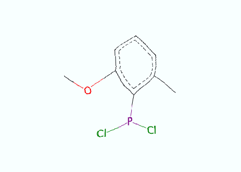 COc1cccc(C)c1P(Cl)Cl